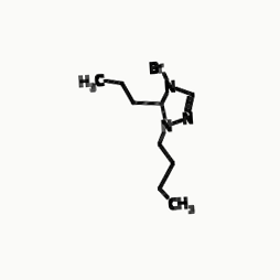 CCCCN1N=CN(Br)C1CCC